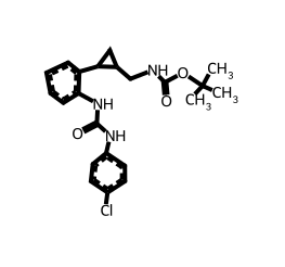 CC(C)(C)OC(=O)NCC1CC1c1ccccc1NC(=O)Nc1ccc(Cl)cc1